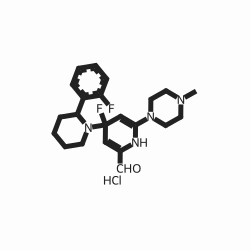 CN1CCN(C2=CC(F)(N3CCCCC3c3ccccc3F)C=C(C=O)N2)CC1.Cl